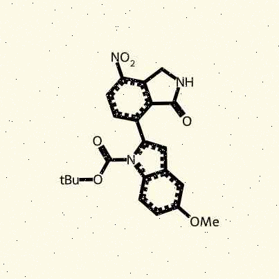 COc1ccc2c(c1)cc(-c1ccc([N+](=O)[O-])c3c1C(=O)NC3)n2C(=O)OC(C)(C)C